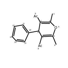 CC(=O)C1=C(C)OC(C)=C(C(C)=O)C1c1ccccc1